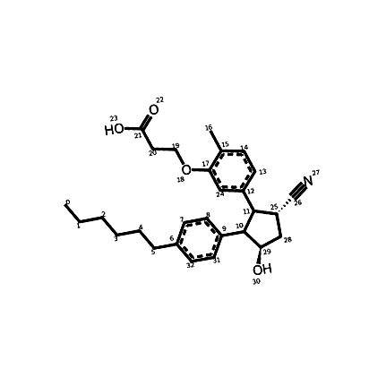 CCCCCCc1ccc(C2C(c3ccc(C)c(OCCC(=O)O)c3)[C@H](C#N)C[C@H]2O)cc1